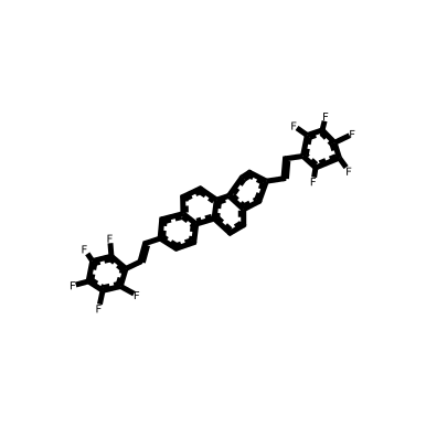 Fc1c(F)c(F)c(/C=C/c2ccc3c(ccc4c5ccc(/C=C/c6c(F)c(F)c(F)c(F)c6F)cc5ccc34)c2)c(F)c1F